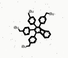 CCC(C)Cc1ccc(-c2c(-c3ccc(CC(C)CC)cc3)c(-c3ccc(CC(C)CC)cc3)c3c(c2-c2ccc(CC(C)CC)cc2)=c2ccccc2=3)cc1